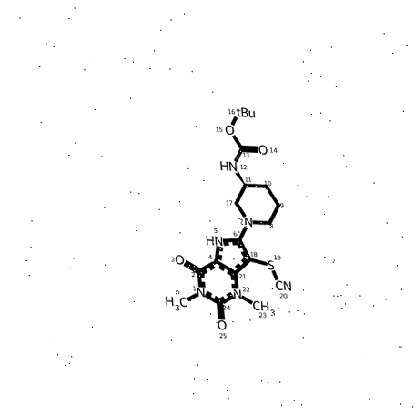 Cn1c(=O)c2[nH]c(N3CCC[C@H](NC(=O)OC(C)(C)C)C3)c(SC#N)c2n(C)c1=O